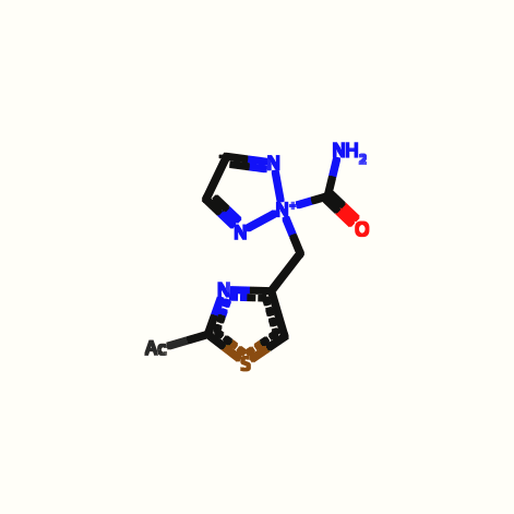 CC(=O)c1nc(C[N+]2(C(N)=O)N=[C]C=N2)cs1